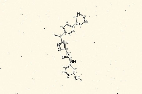 C[C@@H](c1ccc(-c2cncnc2)cc1)[n+]1cc([N-]C(=O)Nc2cccc(C(F)(F)F)c2)on1